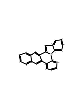 c1ccc2cc3c(cc2c1)c1cccnc1n1c2ccccc2cc31